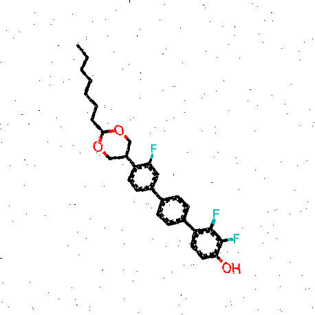 CCCCCCCC1OCC(c2ccc(-c3ccc(-c4ccc(O)c(F)c4F)cc3)cc2F)CO1